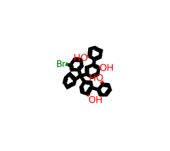 Oc1ccccc1-c1cc(C(c2ccccc2)(c2cccc(Br)c2)c2ccc(O)c(-c3ccccc3O)c2)ccc1O